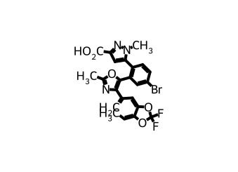 C=C(/C=C1/OC(F)(F)O/C1=C/C)c1nc(C)oc1-c1cc(Br)ccc1-c1cc(C(=O)O)nn1C